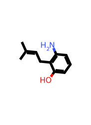 CC(C)=CCc1c(N)cccc1O